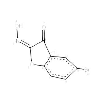 O=C1C(=NO)Oc2ccc(Br)cc21